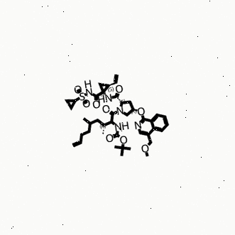 C=CCCC(C)C[C@@H](C)C(NC(=O)OC(C)(C)C)C(=O)N1C[C@H](Oc2ncc(COC)c3ccccc23)C[C@H]1C(=O)N[C@]1(C(=O)NS(=O)(=O)C2CC2)C[C@H]1C=C